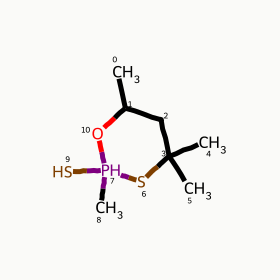 CC1CC(C)(C)S[PH](C)(S)O1